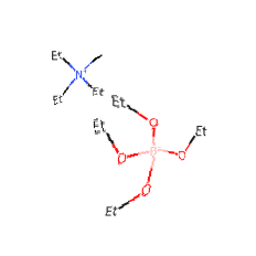 CCO[B-](OCC)(OCC)OCC.CC[N+](C)(CC)CC